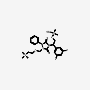 CC(C)(C)[Si](C)(C)OCC(c1cc(F)cc(F)c1)n1c(=O)n(COCC[Si](C)(C)C)n(-c2ccccc2)c1=O